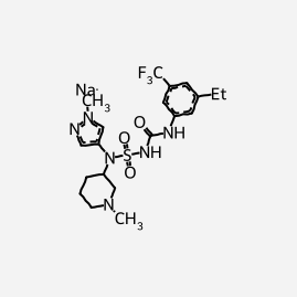 CCc1cc(NC(=O)NS(=O)(=O)N(c2cnn(C)c2)C2CCCN(C)C2)cc(C(F)(F)F)c1.[Na]